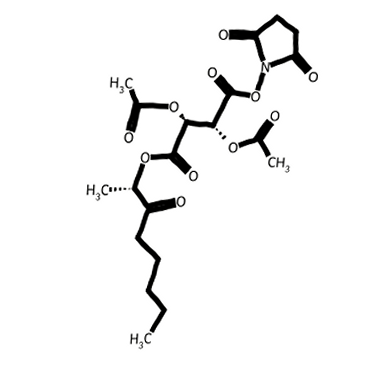 CCCCCC(=O)[C@H](C)OC(=O)[C@H](OC(C)=O)[C@@H](OC(C)=O)C(=O)ON1C(=O)CCC1=O